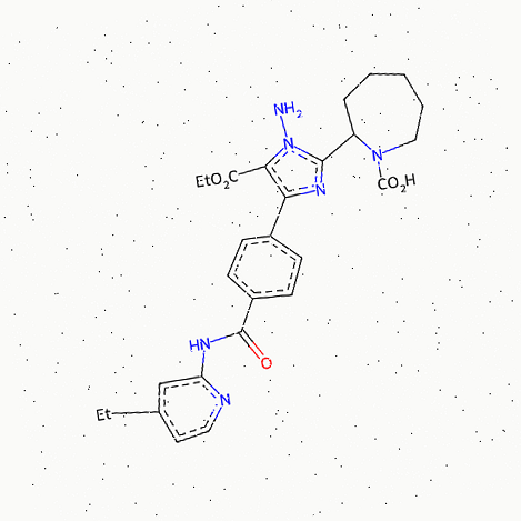 CCOC(=O)c1c(-c2ccc(C(=O)Nc3cc(CC)ccn3)cc2)nc(C2CCCCCN2C(=O)O)n1N